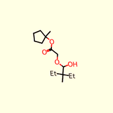 CCC(C)(CC)C(O)OCC(=O)OC1(C)CCCC1